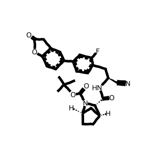 CC(C)(C)OC(=O)N1[C@@H]2CC[C@@H](C2)[C@H]1C(=O)N[C@H](C#N)Cc1ccc(-c2ccc3c(c2)CC(=O)O3)cc1F